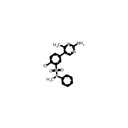 Cc1nc(N)ncc1-c1ccc(Cl)c(S(=O)(=O)N(C)c2ccccc2)c1